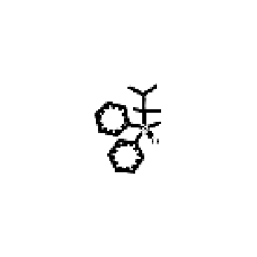 CC(C)C(C)(C)S(C)(=O)(c1ccccc1)c1ccccc1